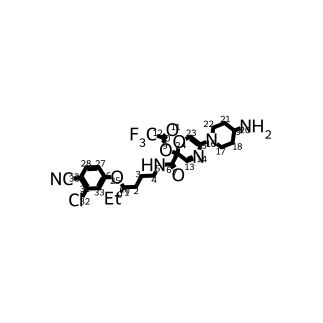 CC[C@H](CCCNC(=O)C1(OC(=O)C(F)(F)F)C=NC(N2CCC(N)CC2)=CO1)Oc1ccc(C#N)c(Cl)c1